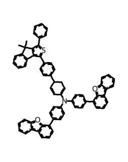 CC1(C)c2ccccc2-c2c(-c3ccc(C4C=CC(N(c5ccc(-c6cccc7c6oc6ccccc67)cc5)c5ccc(-c6cccc7c6oc6ccccc67)cc5)=CC4)cc3)sc(-c3ccccc3)c21